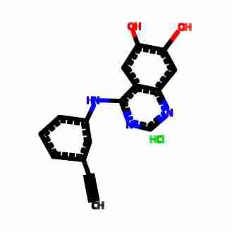 C#Cc1cccc(Nc2ncnc3cc(O)c(O)cc23)c1.Cl